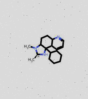 C[C@@H]1NC2(C3CCCCC3)C3C=CC=NC3CCC2N1C